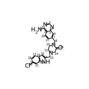 Nc1ncnc2cc(CN3CCN(Cc4cc5ccc(Cl)cc5[nH]4)CC3=O)ccc12